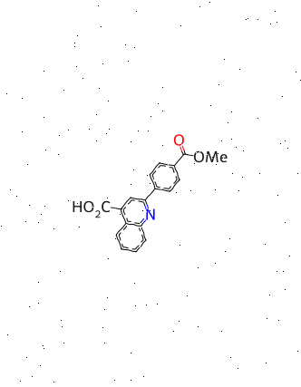 COC(=O)c1ccc(-c2cc(C(=O)O)c3ccccc3n2)cc1